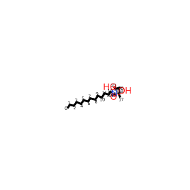 CCCCCCCCCCCCCC[N+]([O-])(C(C)O)C(C)O